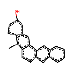 Cc1c2ccc(O)cc2cc2c1ccc1cc3ccccc3cc12